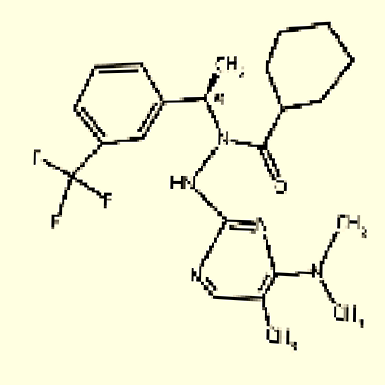 Cc1cnc(NN(C(=O)C2CCCCC2)[C@H](C)c2cccc(C(F)(F)F)c2)nc1N(C)C